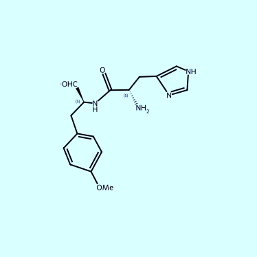 COc1ccc(C[C@@H]([C]=O)NC(=O)[C@@H](N)Cc2c[nH]cn2)cc1